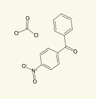 O=C(Cl)Cl.O=C(c1ccccc1)c1ccc([N+](=O)[O-])cc1